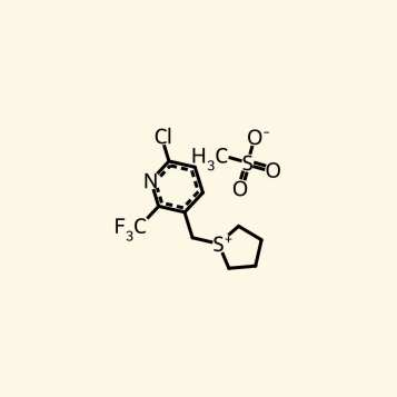 CS(=O)(=O)[O-].FC(F)(F)c1nc(Cl)ccc1C[S+]1CCCC1